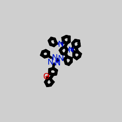 c1ccc(-c2nc(-c3ccc4c(c3)oc3ccccc34)nc(-n3c4ccccc4c4c(-n5c6ccccc6c6ccccc65)c5c6ccccc6n(-c6ccccc6)c5cc43)n2)cc1